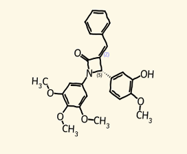 COc1ccc([C@H]2/C(=C/c3ccccc3)C(=O)N2c2cc(OC)c(OC)c(OC)c2)cc1O